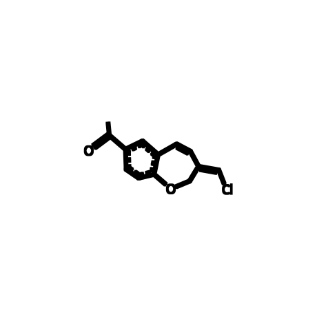 CC(=O)c1ccc2c(c1)C=CC(=CCl)CO2